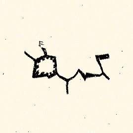 C=CC(C)CCC(C)c1ccc(C)c(F)c1